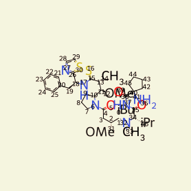 CC[C@H](C)[C@@H]([C@@H](CC(=O)N1CCC[C@H]1[C@H](OC)[C@@H](C)C(=S)N[C@@H](Cc1ccccc1)c1nccs1)OC)N(C)[C@H](C(=O)NC(=O)C1(N)CCCC1)C(C)C